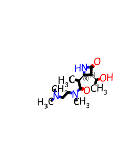 CC(C(=O)N(C)CCN(C)C)[C@H]1NC(=O)[C@@H]1C(C)O